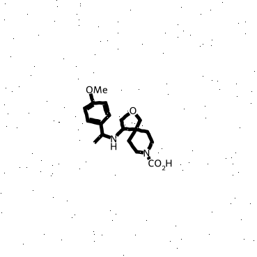 COc1ccc(C(C)NC2COCC23CCN(C(=O)O)CC3)cc1